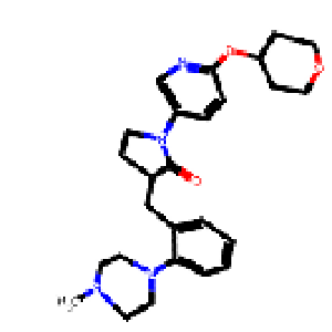 CN1CCN(c2ccccc2CC2CCN(c3ccc(OC4CCOCC4)nc3)C2=O)CC1